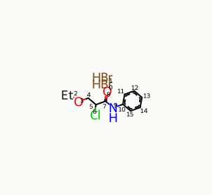 Br.Br.CCOCC(Cl)C(=O)Nc1ccccc1